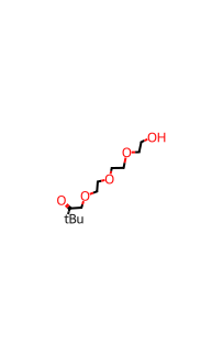 CC(C)(C)C(=O)COCCOCCOCCO